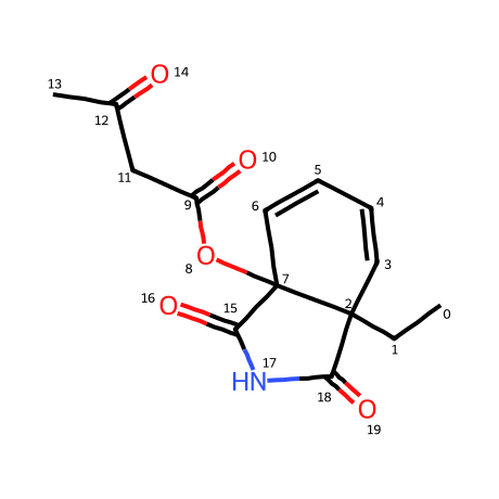 CCC12C=CC=CC1(OC(=O)CC(C)=O)C(=O)NC2=O